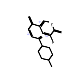 C=C(F)/C(F)=C\C(=C/C)C(=C)/C=C\C(=C)C1CCC(C)CC1